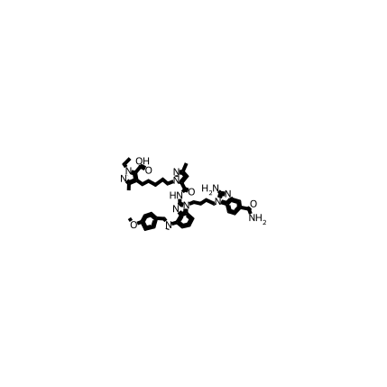 CCn1nc(C)c(CCCCCn2nc(C)cc2C(=O)Nc2nc3c(N(C)Cc4ccc(OC)cc4)cccc3n2CCCCn2c(N)nc3cc(C(N)=O)ccc32)c1C(=O)O